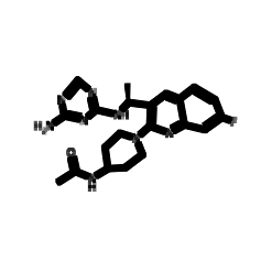 CC(=O)NC1CCN(c2nc3cc(F)ccc3cc2[C@H](C)Nc2ncnc(N)n2)CC1